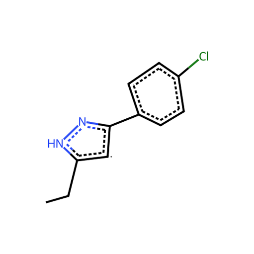 CCc1[c]c(-c2ccc(Cl)cc2)n[nH]1